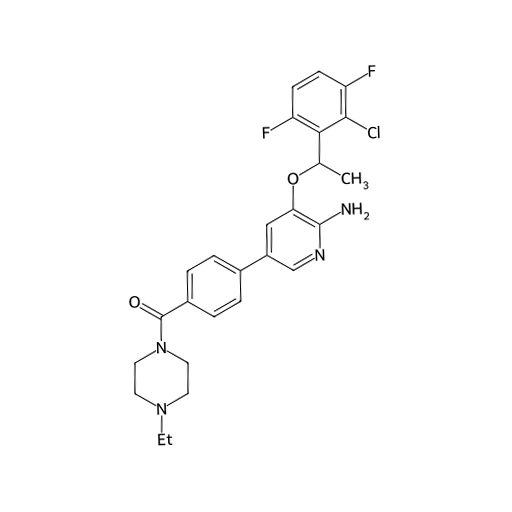 CCN1CCN(C(=O)c2ccc(-c3cnc(N)c(OC(C)c4c(F)ccc(F)c4Cl)c3)cc2)CC1